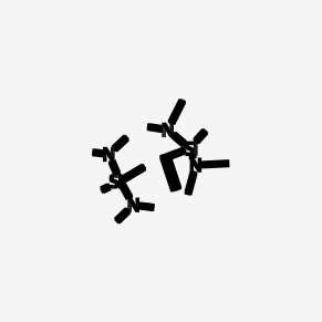 C=C[Si](C)(N(C)C)N(C)C.CN(C)[Si](C)(C)N(C)C